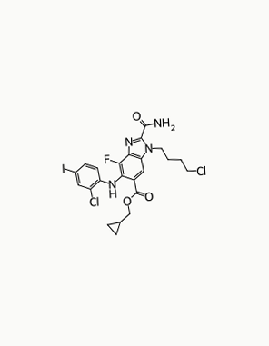 NC(=O)c1nc2c(F)c(Nc3ccc(I)cc3Cl)c(C(=O)OCC3CC3)cc2n1CCCCCl